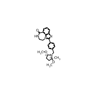 CO[C@H]1CC[C@](C)(OC)N1Cc1ccc(-c2nc3cccc4c3n2CCNC4=O)cc1